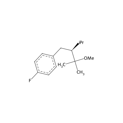 COC(C)(C)[C@@H](Cc1ccc(F)cc1)C(C)C